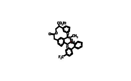 CCOC(=O)C(COC(=O)Cc1ccc(NC(=O)c2ccccc2-c2ccc(C(F)(F)F)cc2)c(C(=O)N(C)C)c1)c1ccccc1